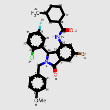 COc1ccc(CN2C(=O)c3cc(Br)cc(NC(=O)C4CCCC(C(F)(F)F)C4)c3C2c2cc(F)ccc2Cl)cc1